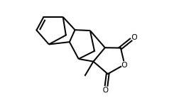 CC12C(=O)OC(=O)C1C1CC2C2C3C=CC(C3)C12